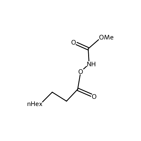 CCCCCCCCC(=O)ONC(=O)OC